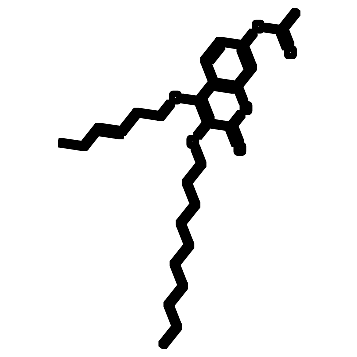 CCC=CCCOc1c(OCCCCCCCCCC)c(=O)oc2cc(OC(C)=O)ccc12